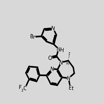 CCN1CC[C@@H](C)N(C(=O)Nc2cncc(Br)c2)c2nc(-c3cccc(C(F)(F)F)c3)ccc21